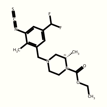 CCOC(=O)N1CCN(Cc2cc(C(F)F)cc(N=C=S)c2C)C[C@@H]1C